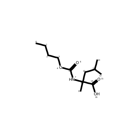 CCCCOC(=O)NC(C)(CC(C)C)C(=O)O